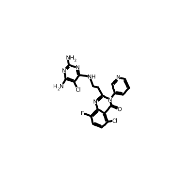 Nc1nc(N)c(Cl)c(NCCc2nc3c(F)ccc(Cl)c3c(=O)n2-c2cccnc2)n1